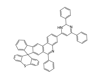 C1=C(c2ccc3c(c2)nc(-c2ccccc2)c2cc4c(cc23)-c2ccccc2C42c3ccccc3Sc3ccccc32)NC(c2ccccc2)N=C1c1ccccc1